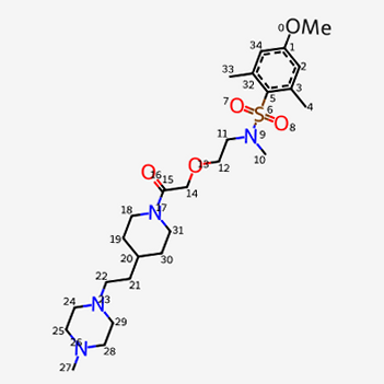 COc1cc(C)c(S(=O)(=O)N(C)CCOCC(=O)N2CCC(CCN3CCN(C)CC3)CC2)c(C)c1